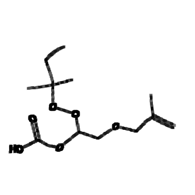 C=C(C)COCC(OOC(C)(C)CC)OC(=O)O